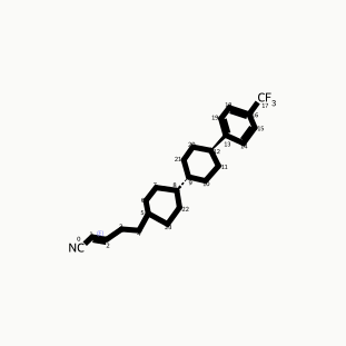 N#C/C=C/CCC1CCC([C@H]2CC[C@H](c3ccc(C(F)(F)F)cc3)CC2)CC1